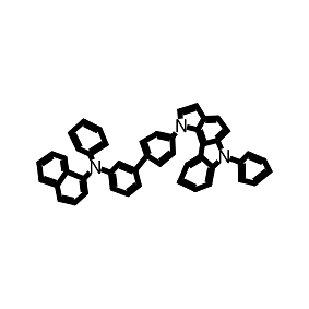 c1ccc(N(c2cccc(-c3ccc(-n4ccc5ccc6c(c7ccccc7n6-c6ccccc6)c54)cc3)c2)c2cccc3ccccc23)cc1